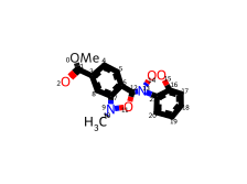 COC(=O)c1ccc2c(c1)N(C)OC2N1OOc2ccccc21